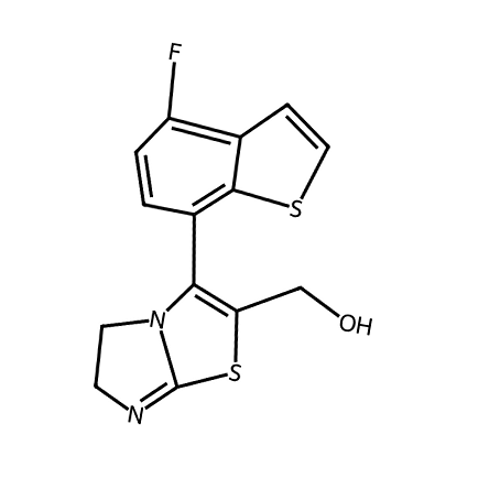 OCC1=C(c2ccc(F)c3ccsc23)N2CCN=C2S1